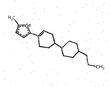 CCCC1CCC(C2CC=C(c3ccc(C)[se]3)CC2)CC1